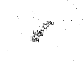 CC(C)(C)c1ccc(C=CC(=O)Nc2ccc3[nH]ccc3c2)cc1